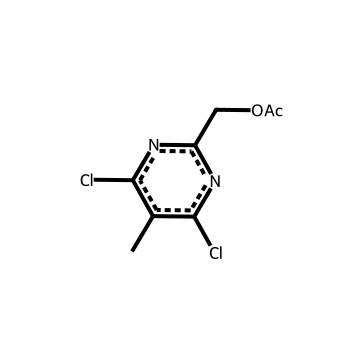 CC(=O)OCc1nc(Cl)c(C)c(Cl)n1